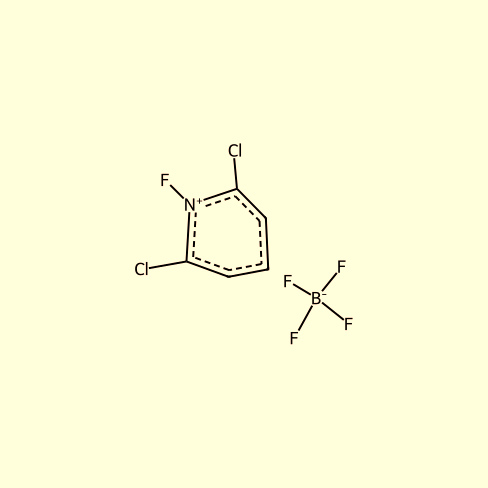 F[B-](F)(F)F.F[n+]1c(Cl)cccc1Cl